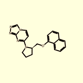 c1ccc2c(OC[C@H]3CCCN3c3ccn4cnnc4n3)cccc2c1